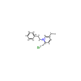 CCc1ccc(C)[n+](CCc2ccccc2)c1.[Br-]